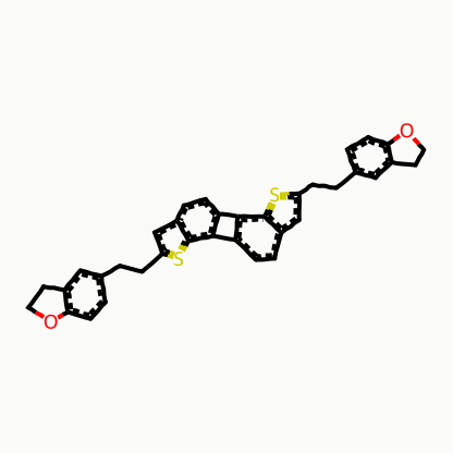 c1cc2c(cc1CCc1cc3ccc4c(c3s1)-c1ccc3cc(CCc5ccc6c(c5)CCO6)sc3c1-4)CCO2